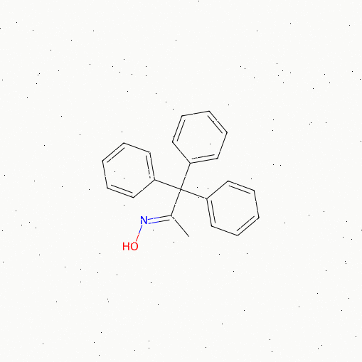 C/C(=N\O)C(c1ccccc1)(c1ccccc1)c1ccccc1